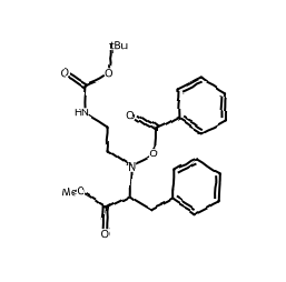 COC(=O)C(Cc1ccccc1)N(CCNC(=O)OC(C)(C)C)OC(=O)c1ccccc1